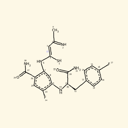 CC(=N)/C=C(\S)Nc1cc(N[C@H](Cc2ccc(F)cc2)C(N)=O)c(F)cc1C(N)=O